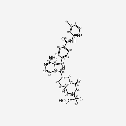 Cc1ccnc(NC(=O)c2ccc(-c3nc([C@@H]4CC[C@H]5CN(C(C)(C)C(=O)O)CC(=O)N5C4)n4ccnc(N)c34)cc2)c1